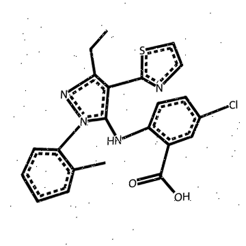 CCc1nn(-c2ccccc2C)c(Nc2ccc(Cl)cc2C(=O)O)c1-c1nccs1